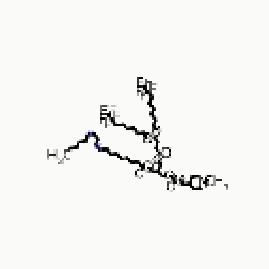 CCCCC/C=C\C/C=C\CCCCCCCC(=O)OCC(COC(=O)CCC(OCCCCCCC(F)(F)C(F)(F)F)OCCCCCCC(F)(F)C(F)(F)F)COC(=O)OCC1CCN(C)CC1